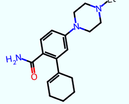 CCN1CCN(c2ccc(C(N)=O)c(C3=CCCCC3)c2)CC1